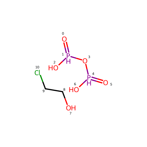 O=[PH](O)O[PH](=O)O.OCCCl